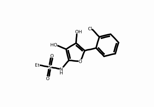 CCS(=O)(=O)Nc1oc(-c2ccccc2Cl)c(O)c1O